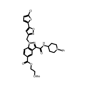 COCCOC(=O)c1ccc2c(c1)c(C(=O)NC1CCN(C(C)C)CC1)nn2Cc1cc(-c2ccc(Cl)s2)on1